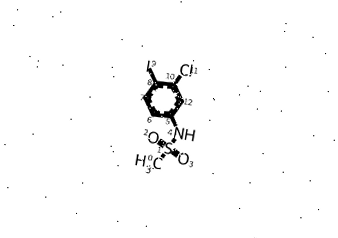 CS(=O)(=O)Nc1ccc(I)c(Cl)c1